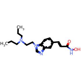 CCCN(CCC)CCn1cnc2cc(C=CC(=O)NO)ccc21